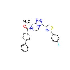 CC1c2nnc(-c3csc(-c4ccc(F)cc4)n3)n2CCN1C(=O)c1ccc(-c2ccccc2)cc1